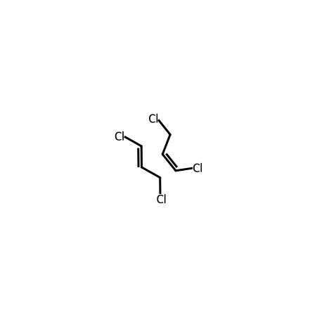 Cl/C=C/CCl.Cl/C=C\CCl